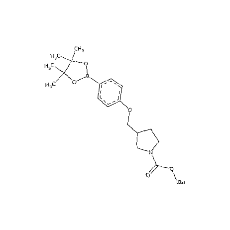 CC(C)(C)OC(=O)N1CCC(COc2ccc(B3OC(C)(C)C(C)(C)O3)cc2)C1